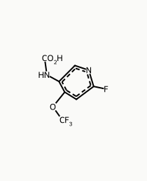 O=C(O)Nc1cnc(F)cc1OC(F)(F)F